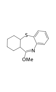 COC1=Nc2ccccc2SC2CCCCC12